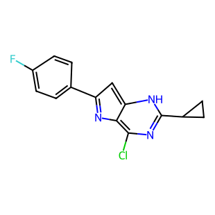 Fc1ccc(-c2cc3[nH]c(C4CC4)nc(Cl)c-3n2)cc1